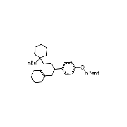 CCCCCOc1ccc(C(CCC2(CCCC)CCCCC2)CC2=CCCCC2)cc1